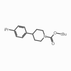 CC(C)c1ccc([C]2CCN(C(=O)OC(C)(C)C)CC2)cc1